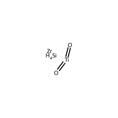 [O]=[Ti]=[O].[SiH4].[Zr]